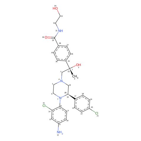 C[C@@](O)(CN1CCN(c2ccc(N)cc2Cl)[C@H](c2ccc(Cl)cc2)C1)c1ccc(C(=O)NCCO)cc1